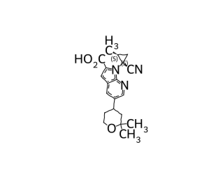 C[C@H]1C[C@]1(C#N)n1c(C(=O)O)cc2cc(C3CCOC(C)(C)C3)cnc21